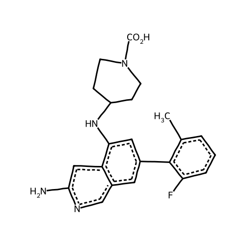 Cc1cccc(F)c1-c1cc(NC2CCN(C(=O)O)CC2)c2cc(N)ncc2c1